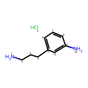 Cl.NCCCc1cccc(N)c1